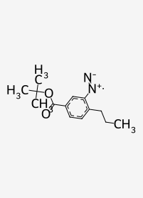 CCCc1ccc(C(=O)OC(C)(C)C)cc1[N+]=[N-]